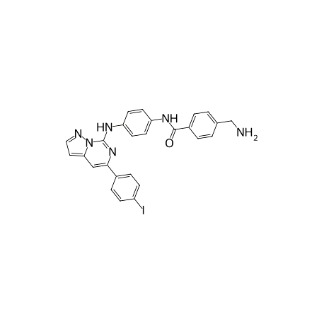 NCc1ccc(C(=O)Nc2ccc(Nc3nc(-c4ccc(I)cc4)cc4ccnn34)cc2)cc1